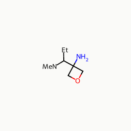 CCC(NC)C1(N)COC1